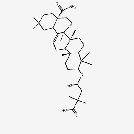 CC1(C)CC[C@]2(C(N)=O)CC[C@]3(C)C(=CCC4[C@@]5(C)CCC(OC(O)CC(C)(C)C(=O)O)C(C)(C)C5CC[C@]43C)C2C1